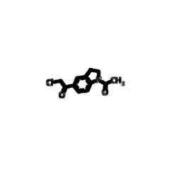 CC(=O)N1CCc2cc(C(=O)CCl)ccc21